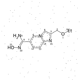 CCOCc1cn2cc(C(N)=NO)ccc2n1